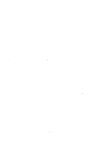 N#Cc1ccc(-c2nc3ccccc3c3c2cc(-c2cc(C#N)cc(C#N)c2)c2nc(-c4ccccc4)c(-c4ccccc4)nc23)cc1